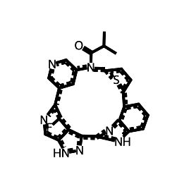 CC(C)C(=O)n1c2cncc(c2)c2ncc3[nH]nc(c4nc5c(cccc5c5ccc1s5)[nH]4)c3c2F